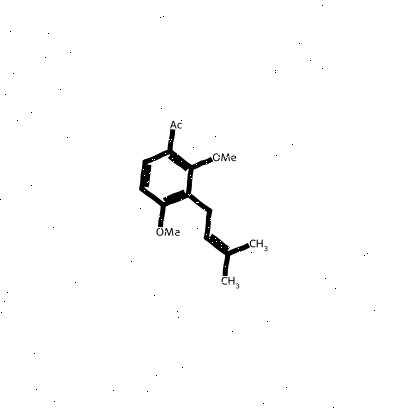 COc1ccc(C(C)=O)c(OC)c1CC=C(C)C